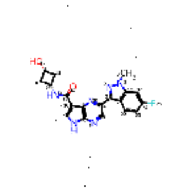 Cn1nc(-c2cnc3[nH]cc(C(=O)N[C@H]4C[C@@H](O)C4)c3n2)c2ccc(F)cc21